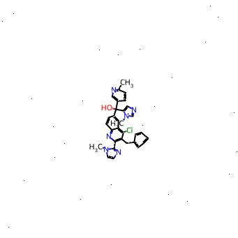 Cc1ccc(C(O)(c2ccc3nc(-c4nccn4C)c(Cc4ccccc4)c(Cl)c3c2)c2cncn2C)cn1